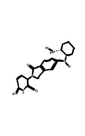 CCN[C@@H]1CCCC[C@H]1N(CC)c1ccc2c(c1)CN(C1CCC(=O)NC1=O)C2=O